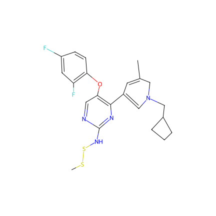 CSSNc1ncc(Oc2ccc(F)cc2F)c(C2=CN(CC3CCC3)CC(C)=C2)n1